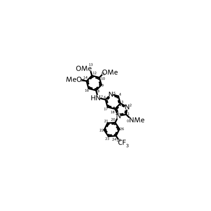 CNc1nc2cnc(Nc3cc(OC)c(OC)c(OC)c3)cc2n1-c1cccc(C(F)(F)F)c1